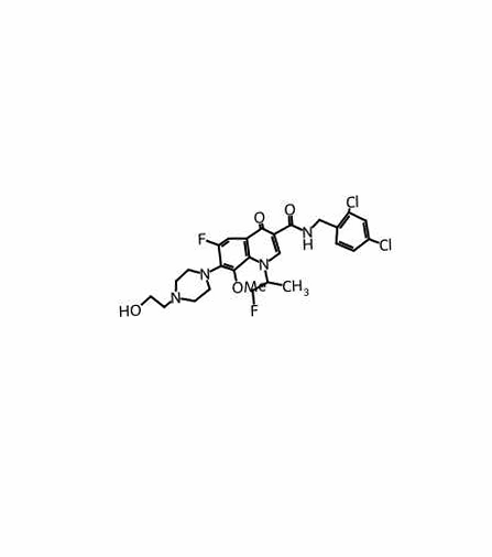 COc1c(N2CCN(CCO)CC2)c(F)cc2c(=O)c(C(=O)NCc3ccc(Cl)cc3Cl)cn(C(C)CF)c12